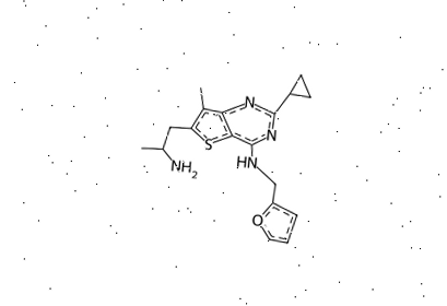 Cc1c(CC(C)N)sc2c(NCc3ccco3)nc(C3CC3)nc12